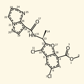 COC(=O)c1cc(Cl)cc2c(Cl)c([C@H](C)NC(=O)c3cnn4cccnc34)oc12